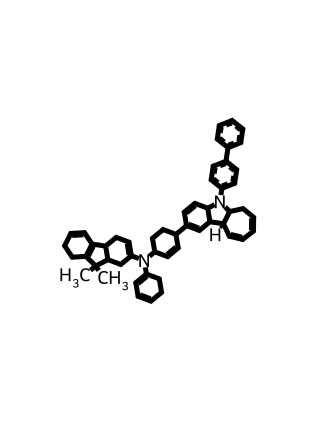 CC1(C)C2=C(C=CCC2)C2CC=C(N(C3=CC=CCC3)C3C=CC(C4=CC5C(C=C4)N(c4ccc(-c6ccccc6)cc4)C4CC=CC=C[C@H]54)CC3)CC21